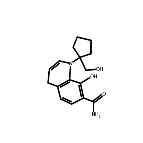 NC(=O)c1ccc2c(c1O)N(C1(CO)CCCC1)C=CC2